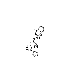 COc1ccccc1NC(=S)NNC(=O)CC(C=O)C(S)Nc1ccccc1